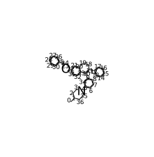 CC1CCN(c2cccc(C3=C(c4ccccc4)CCc4cc(OCc5ccccc5)ccc43)c2)CC1